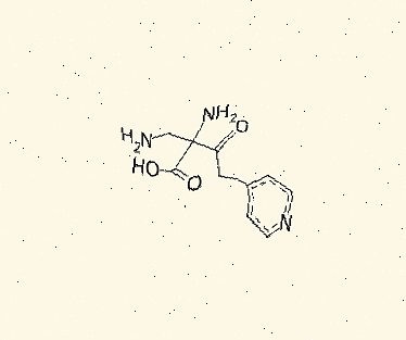 NCC(N)(C(=O)O)C(=O)Cc1ccncc1